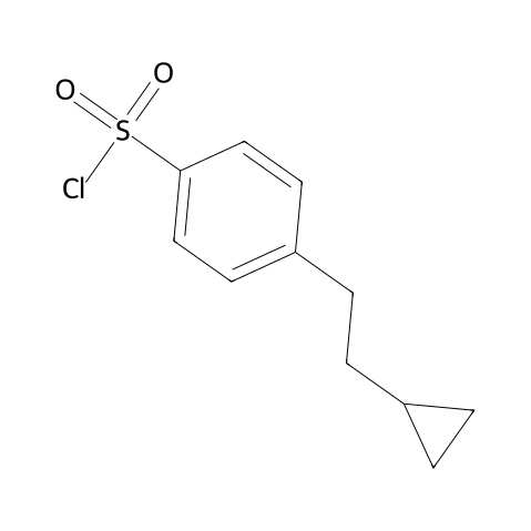 O=S(=O)(Cl)c1ccc(CCC2CC2)cc1